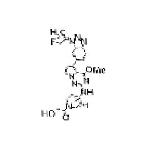 COc1nc(N[C@H]2CCN(C(=O)CO)C[C@H]2F)nn2ccc(-c3ccc4nnn([C@H](C)CF)c4c3)c12